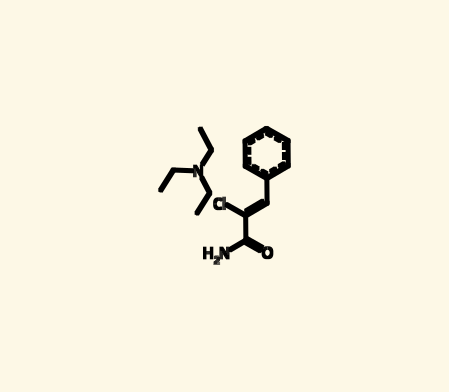 CCN(CC)CC.NC(=O)C(Cl)=Cc1ccccc1